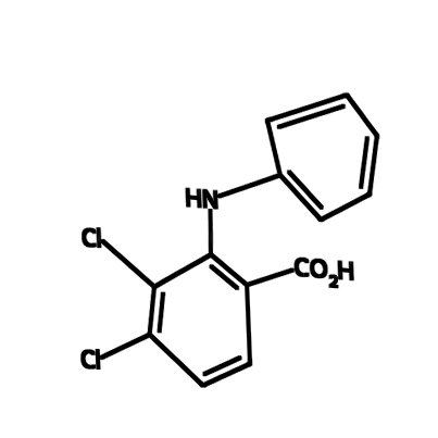 O=C(O)c1ccc(Cl)c(Cl)c1Nc1ccccc1